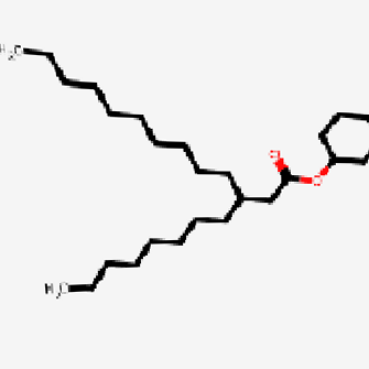 CCCCCCCCCCC(CCCCCCCC)CC(=O)OC1CCCCC1